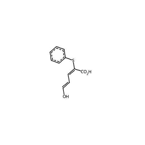 O=C(O)C(=CC=CO)Sc1ccccc1